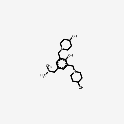 CN(C)Cc1cc(CN2CCC(O)CC2)c(O)c(CN2CCC(O)CC2)c1